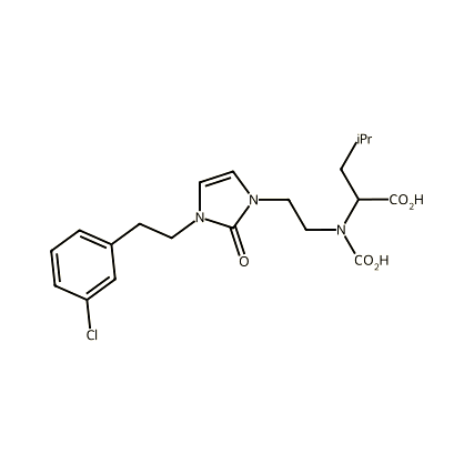 CC(C)CC(C(=O)O)N(CCn1ccn(CCc2cccc(Cl)c2)c1=O)C(=O)O